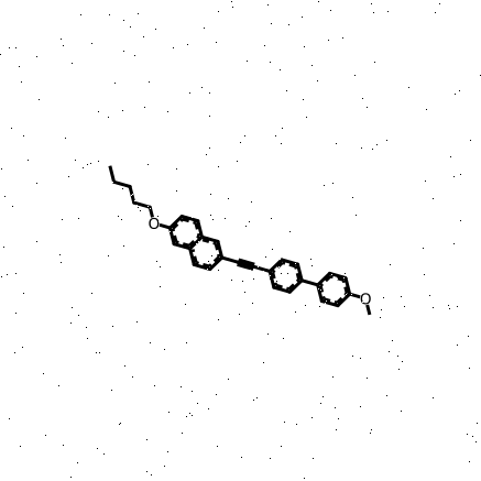 CCCCCOc1ccc2cc(C#Cc3ccc(-c4ccc(OC)cc4)cc3)ccc2c1